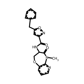 CN1C(=O)C(NC(=O)c2cc(Cc3ccccc3)on2)COc2cccnc21